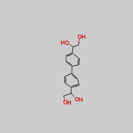 OCC(O)c1ccc(-c2ccc(C(O)CO)cc2)cc1